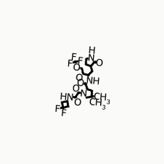 CC1(C)CC(C(=O)NC(CC2CCNC2=O)C(=O)COC(F)(F)F)N(C(=O)C(=O)NC2CC(F)(F)C2)C1